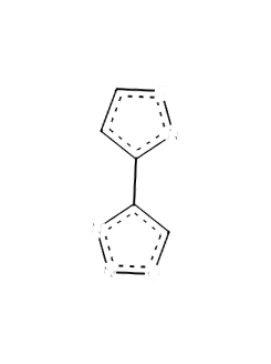 c1cc(-c2conn2)ns1